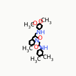 COc1ccc(NCc2cc3ccc(C)cc3n(CC(=O)Nc3ccc(C)c(C)c3)c2=O)cc1OC